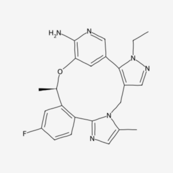 CCn1ncc2c1-c1cnc(N)c(c1)O[C@H](C)c1cc(F)ccc1-c1ncc(C)n1C2